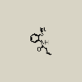 C=CCC(=O)Nc1ccccc1SCC